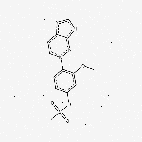 COc1cc(OS(C)(=O)=O)ccc1-n1ccc2ncnc-2n1